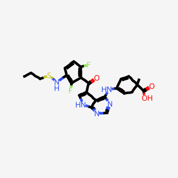 CCCSNc1ccc(F)c(C(=O)c2c[nH]c3ncnc(NC4=CCC(C)(C(=O)O)C=C4)c23)c1F